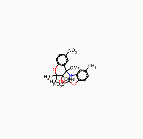 COC1(N2c3cc(C)ccc3OC2S(=O)(=O)O)c2cc([N+](=O)[O-])ccc2OC(C)(C)C1(O)OC